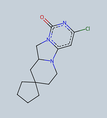 O=c1nc(Cl)cc2n1CC1CC3(CCCC3)CCN21